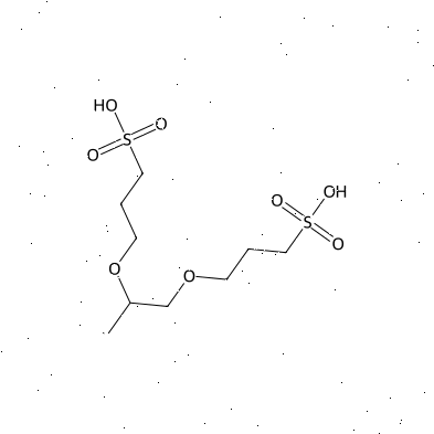 [CH2]C(COCCCS(=O)(=O)O)OCCCS(=O)(=O)O